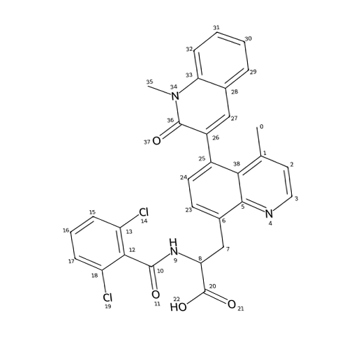 Cc1ccnc2c(CC(NC(=O)c3c(Cl)cccc3Cl)C(=O)O)ccc(-c3cc4ccccc4n(C)c3=O)c12